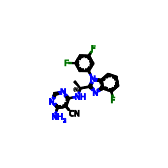 C[C@H](Nc1ncnc(N)c1C#N)c1nc2c(F)cccc2n1-c1cc(F)cc(F)c1